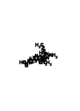 CCCCNc1nc(N)nc2c(C)nn(Cc3ncc(C4=CCN(C(=O)O)CC4)cc3OC)c12